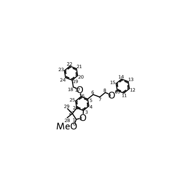 COC1Oc2cc(CCCOc3ccccc3)c(OCc3ccccc3)cc2C1(C)C